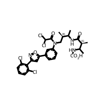 CC(NC(=O)[C@@H](C)C(C)NC(=O)O)[C@H](C)CN(C(=O)C(Cl)Cl)c1cccc(-c2cc(-c3c(Cl)cccc3Cl)no2)c1